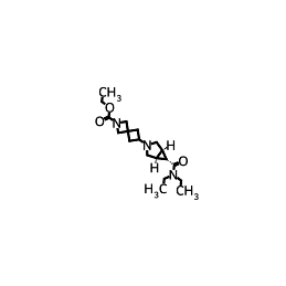 CCOC(=O)N1CC2(CC(N3C[C@@H]4[C@H](C3)[C@H]4C(=O)N(CC)CC)C2)C1